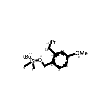 COc1ccc(CO[Si](C)(C)C(C)(C)C)c(CC(C)C)c1